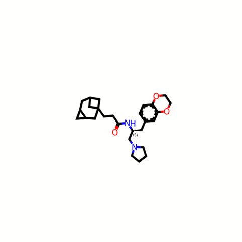 O=C(CCC12CC(CC3CC3C1)C2)N[C@@H](Cc1ccc2c(c1)OCCO2)CN1CCCC1